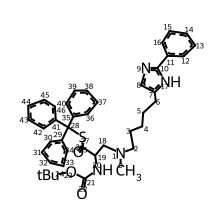 CN(CCCCCc1cnc(-c2ccccc2)[nH]1)CC(NC(=O)OC(C)(C)C)C(=O)SC(c1ccccc1)(c1ccccc1)c1ccccc1